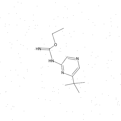 CCOC(=N)Nc1cncc(C(C)(C)C)n1